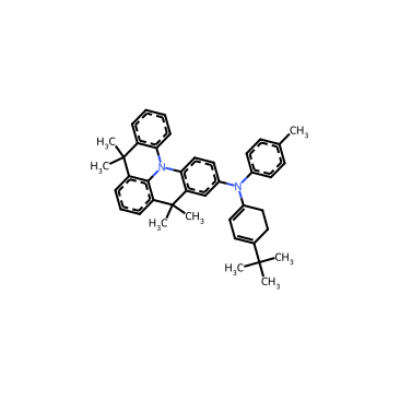 Cc1ccc(N(C2=CC=C(C(C)(C)C)CC2)c2ccc3c(c2)C(C)(C)c2cccc4c2N3c2ccccc2C4(C)C)cc1